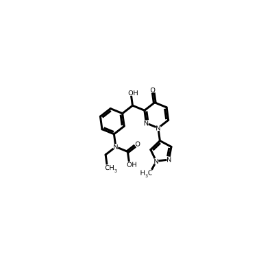 CCN(C(=O)O)c1cccc(C(O)c2nn(-c3cnn(C)c3)ccc2=O)c1